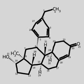 CCc1ccc([C@H]2C[C@]3(C)[C@@H](O)CC[C@H]3[C@@H]3CCC4=CC(=O)CC[C@@H]4[C@H]32)cc1